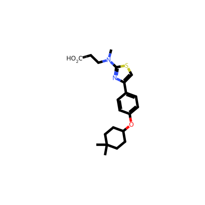 CN(CCC(=O)O)c1nc(-c2ccc(OC3CCC(C)(C)CC3)cc2)cs1